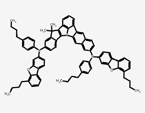 CCCCc1ccc(N(c2ccc3c(c2)C(C)(C)c2c-3n3c4cc5cc(N(c6ccc(CCCC)cc6)c6ccc7c(c6)oc6c(CCCC)cccc67)ccc5cc4c4cccc2c43)c2ccc3c(c2)oc2c(CCCC)cccc23)cc1